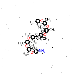 Cc1ccc(Oc2c(C)cc(Oc3c(C)cc(Oc4c(C)cc(C(C)(C)c5cc(C)c(Oc6cc(C)c(Oc7cc(C)c(Oc8ccc(N)cc8)c(C)c7)c(C)c6)c(C)c5)cc4C)cc3C)cc2C)cc1